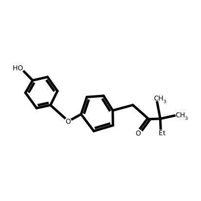 CCC(C)(C)C(=O)Cc1ccc(Oc2ccc(O)cc2)cc1